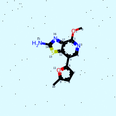 COc1ncc(-c2ccc(C)o2)c2sc(N)nc12